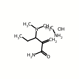 C=C(C(N)=O)C(CC)N(C)C.CN.Cl